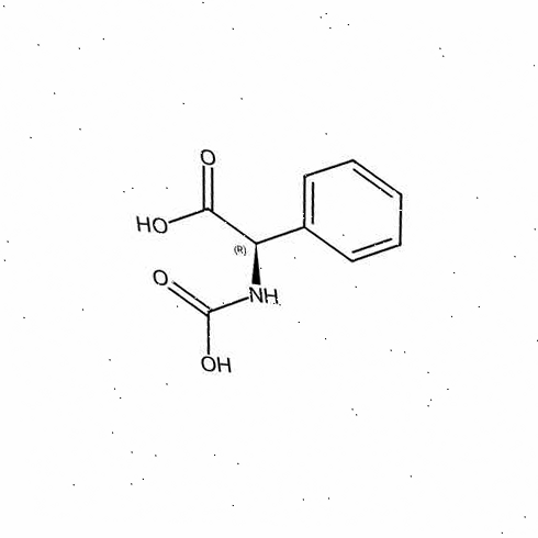 O=C(O)N[C@@H](C(=O)O)c1ccccc1